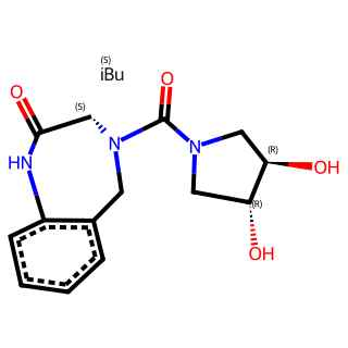 CC[C@H](C)[C@H]1C(=O)Nc2ccccc2CN1C(=O)N1C[C@@H](O)[C@H](O)C1